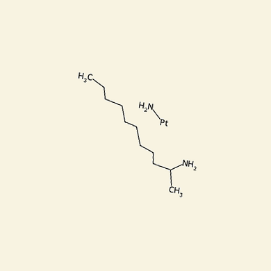 CCCCCCCCCC(C)N.[NH2][Pt]